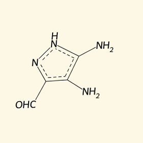 Nc1[nH]nc(C=O)c1N